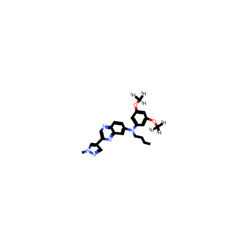 [2H]C([2H])([2H])Oc1cc(OC([2H])([2H])[2H])cc(N(CCCC)c2ccc3ncc(-c4cnn(C)c4)nc3c2)c1